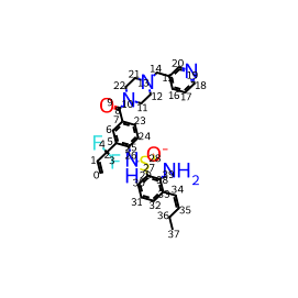 C=CC(F)(F)c1cc(C(=O)N2CCN(Cc3cccnc3)CC2)ccc1N[S+]([O-])c1cccc(/C=C\CC)c1N